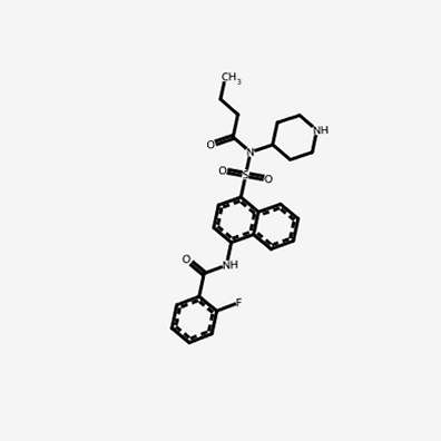 CCCC(=O)N(C1CCNCC1)S(=O)(=O)c1ccc(NC(=O)c2ccccc2F)c2ccccc12